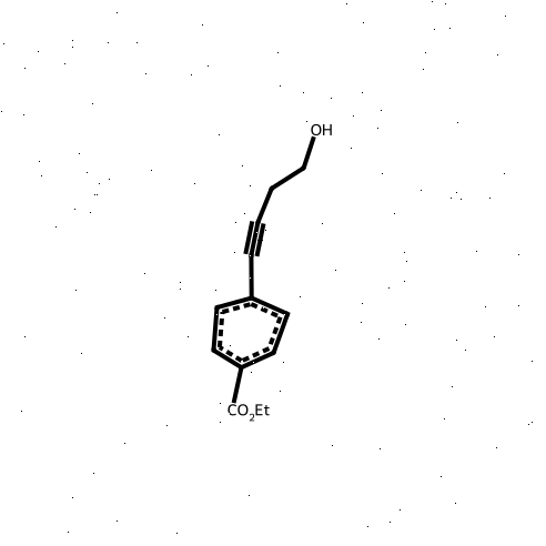 CCOC(=O)c1ccc(C#CCCO)cc1